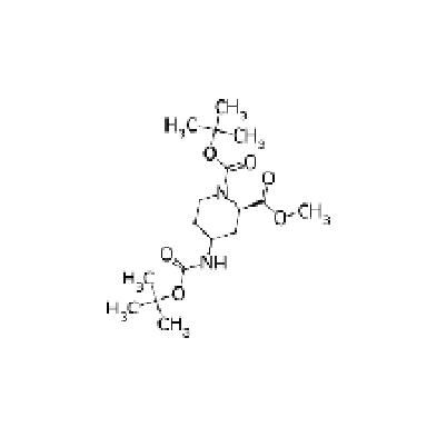 COC(=O)[C@H]1C[C@@H](NC(=O)OC(C)(C)C)CCN1C(=O)OC(C)(C)C